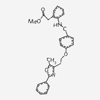 COC(=O)Cc1ccccc1NCc1ccc(OCCc2nc(-c3ccccc3)oc2C)cc1